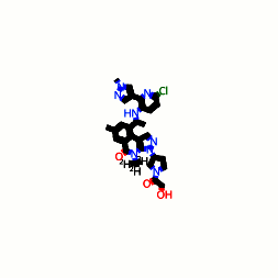 [2H]C([2H])([2H])n1c(=O)c2cc(C)cc(C(C)Nc3ccc(Cl)nc3-c3cnn(C)c3)c2c2cnn(C3CCN(C(=O)CO)C3)c21